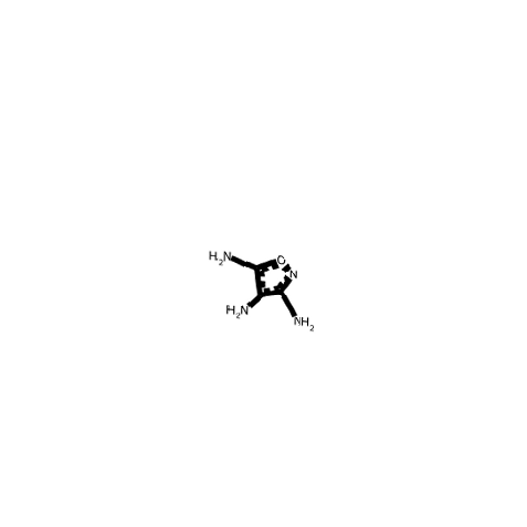 Nc1noc(N)c1N